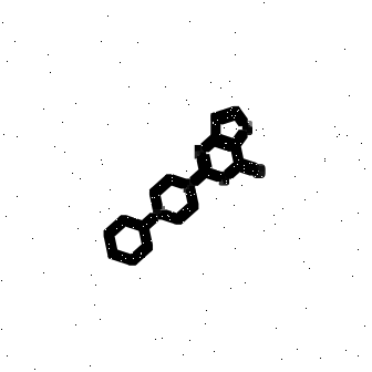 O=c1sc(N2CCN(C3CCCCC3)CC2)nc2ccsc12